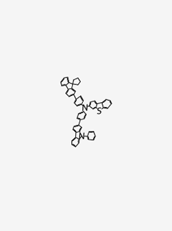 c1ccc(-n2c3ccccc3c3ccc(-c4ccc(N(c5ccc(-c6ccc7c(c6)C6(CCCC6)c6ccccc6-7)cc5)c5ccc6c(c5)sc5ccccc56)cc4)cc32)cc1